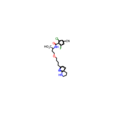 N#Cc1cc(F)c(C(=O)NC(CCOCCCCc2ccc3c(n2)NCCC3)C(=O)O)c(Cl)c1